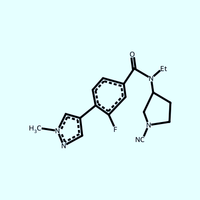 CCN(C(=O)c1ccc(-c2cnn(C)c2)c(F)c1)C1CCN(C#N)C1